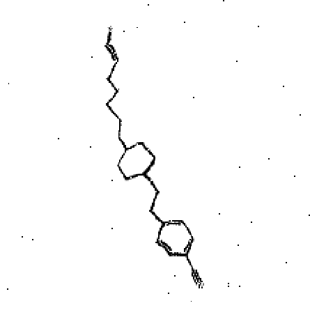 N#Cc1ccc(CCC2CCC(CCCCCC=CF)CC2)cc1